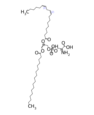 CCCCC/C=C\C/C=C\CCCCCCCC(=O)O[C@H](COC(=O)CCCCCCCCCCCCCCCCC)COP(=O)(O)OC[C@H](N)C(=O)O